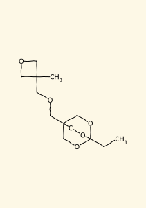 CCC12OCC(COCC3(C)COC3)(CO1)CO2